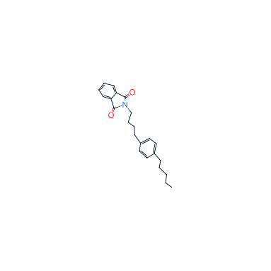 CCCCCc1ccc(CCCCN2C(=O)c3ccccc3C2=O)cc1